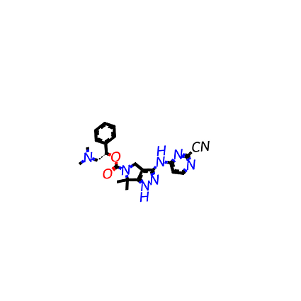 CN(C)C[C@@H](OC(=O)N1Cc2c(Nc3ccnc(C#N)n3)n[nH]c2C1(C)C)c1ccccc1